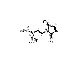 CCCN(CCC)CCN1C(=O)C=CC1=O